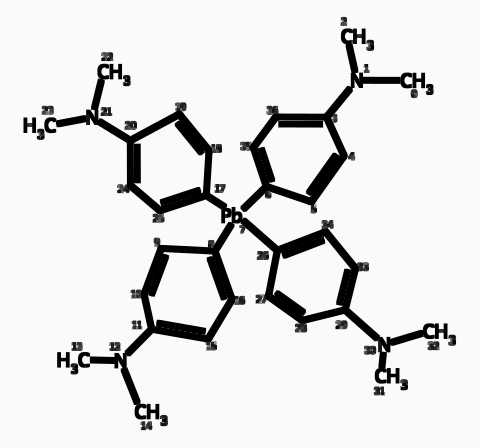 CN(C)c1cc[c]([Pb]([c]2ccc(N(C)C)cc2)([c]2ccc(N(C)C)cc2)[c]2ccc(N(C)C)cc2)cc1